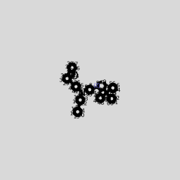 C=CC1=C(/C(=C\C)c2ccc(N(c3ccc(-c4ccccc4)cc3)c3ccc(-c4cccc5c4oc4ccccc45)cc3)cc2)c2ccccc2C1(c1ccccc1)c1ccccc1